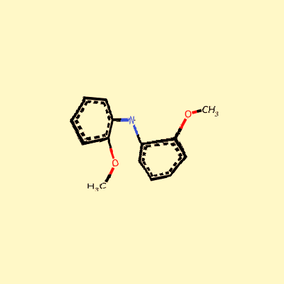 COc1ccccc1[N]c1ccccc1OC